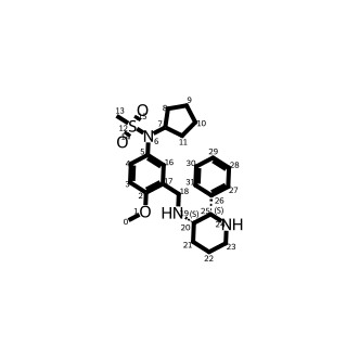 COc1ccc(N(C2CCCC2)S(C)(=O)=O)cc1CN[C@H]1CCCN[C@H]1c1ccccc1